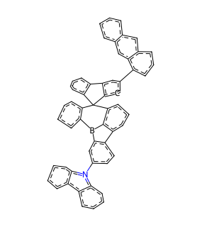 c1ccc2c(c1)B1c3cc(-n4c5ccccc5c5ccccc54)ccc3-c3cccc(c31)C21c2ccccc2-c2cc(-c3cccc4cc5ccccc5cc34)ccc21